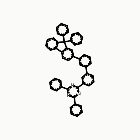 c1ccc(-c2nc(-c3ccccc3)nc(-c3cccc(-c4cccc(-c5ccc6c(c5)C(c5ccccc5)(c5ccccc5)c5ccccc5-6)c4)c3)n2)cc1